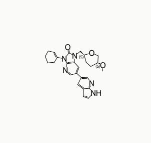 CO[C@H]1CC[C@@H](Cn2c(=O)n(C3=CCCCC3)c3ncc(-c4cnc5[nH]ccc5c4)cc32)OC1